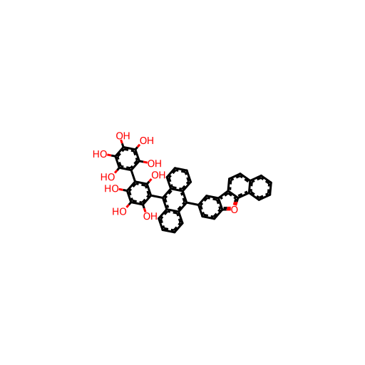 Oc1c(O)c(O)c(-c2c(O)c(O)c(O)c(-c3c4ccccc4c(-c4ccc5oc6c7ccccc7ccc6c5c4)c4ccccc34)c2O)c(O)c1O